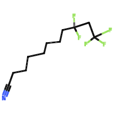 N#CCCCCCCCC(F)(F)CC(F)(F)F